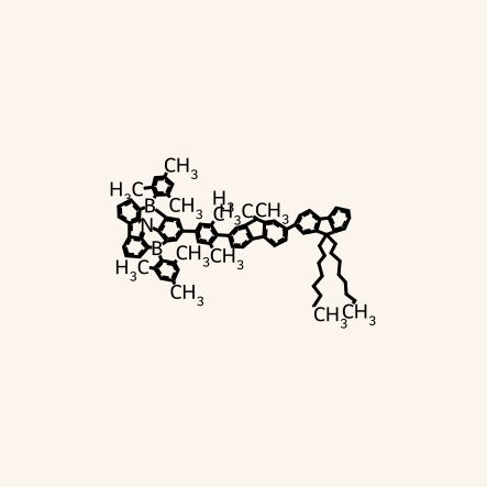 CCCCCCCCC1(CCCCCCCC)c2ccccc2-c2ccc(-c3ccc4c(c3)C(C)(C)c3cc(-c5c(C)cc(-c6cc7c8c(c6)B(c6c(C)cc(C)cc6C)c6cccc9c%10cccc(c%10n-8c69)B7c6c(C)cc(C)cc6C)cc5C)ccc3-4)cc21